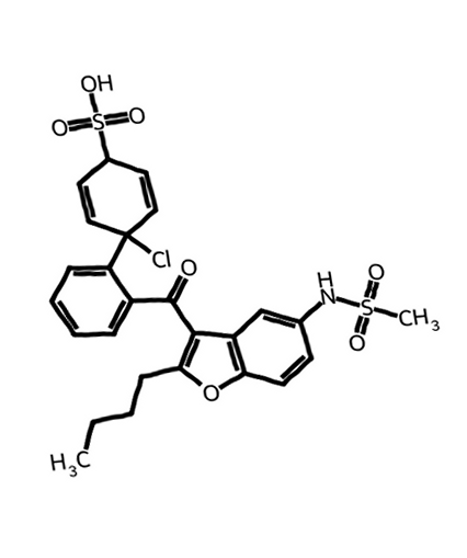 CCCCc1oc2ccc(NS(C)(=O)=O)cc2c1C(=O)c1ccccc1C1(Cl)C=CC(S(=O)(=O)O)C=C1